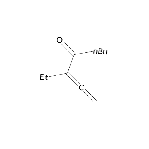 C=C=C(CC)C(=O)CCCC